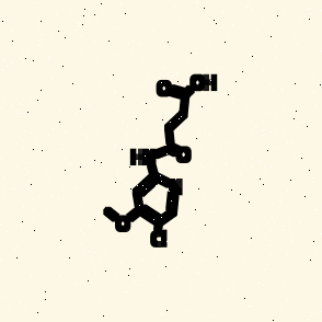 COc1cc(NC(=O)CCC(=O)O)ncc1Cl